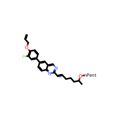 C=CCOc1ccc(-c2ccc3nc(/C=C/CCCC(C)OCCCCC)ncc3c2)cc1F